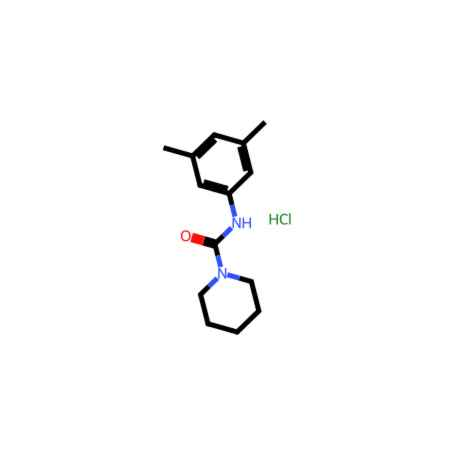 Cc1cc(C)cc(NC(=O)N2CCCCC2)c1.Cl